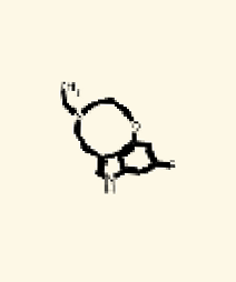 CCN1CCCOc2cc(F)cc3[nH]cc(c23)CC1